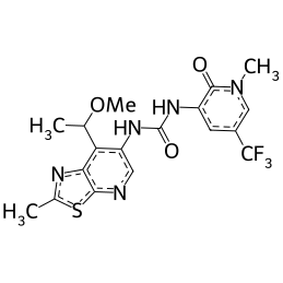 COC(C)c1c(NC(=O)Nc2cc(C(F)(F)F)cn(C)c2=O)cnc2sc(C)nc12